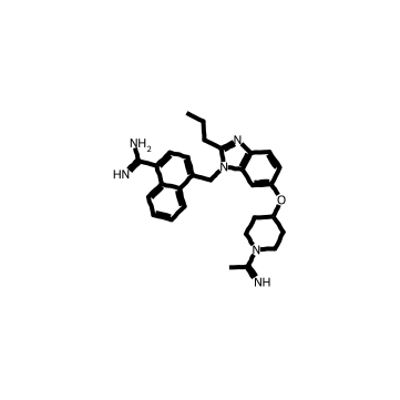 CCCc1nc2ccc(OC3CCN(C(C)=N)CC3)cc2n1Cc1ccc(C(=N)N)c2ccccc12